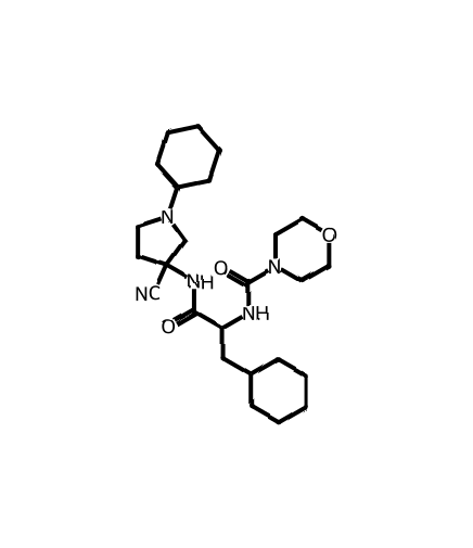 N#CC1(NC(=O)C(CC2CCCCC2)NC(=O)N2CCOCC2)CCN(C2CCCCC2)C1